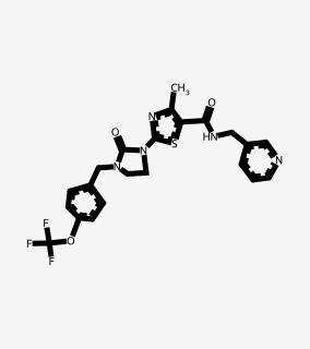 Cc1nc(N2CCN(Cc3ccc(OC(F)(F)F)cc3)C2=O)sc1C(=O)NCc1cccnc1